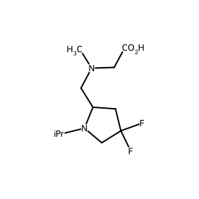 CC(C)N1CC(F)(F)CC1CN(C)CC(=O)O